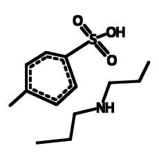 CCCNCCC.Cc1ccc(S(=O)(=O)O)cc1